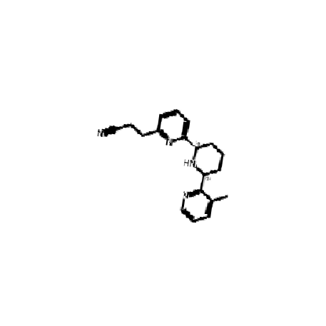 Cc1cccnc1[C@@H]1CCC[C@H](c2cccc(CCC#N)n2)N1